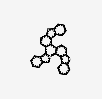 c1ccc2c(c1)cn1c2c2ccc3oc4ccccc4c3c2c2ccc3sc4ccccc4c3c21